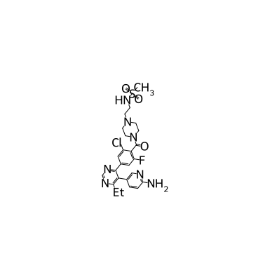 CCc1ncnc(-c2cc(F)c(C(=O)N3CCN(CCNS(C)(=O)=O)CC3)c(Cl)c2)c1-c1ccc(N)nc1